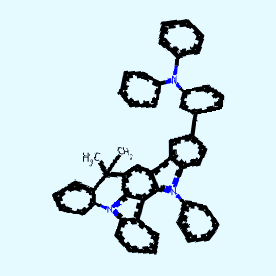 CC1(C)c2ccccc2-n2c3ccccc3c3c2c1cc1c2cc(-c4cccc(N(c5ccccc5)c5ccccc5)c4)ccc2n(-c2ccccc2)c13